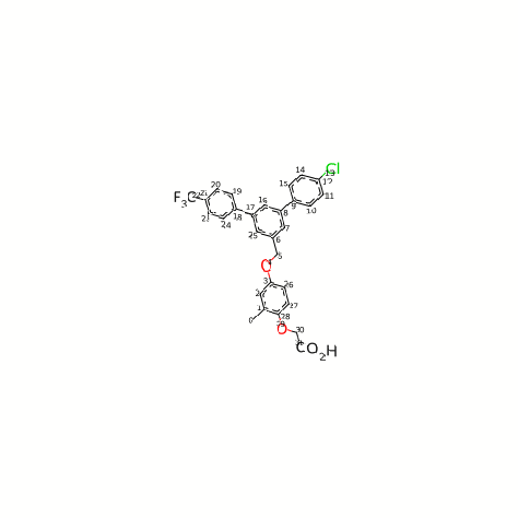 Cc1cc(OCc2cc(-c3ccc(Cl)cc3)cc(-c3ccc(C(F)(F)F)cc3)c2)ccc1OCC(=O)O